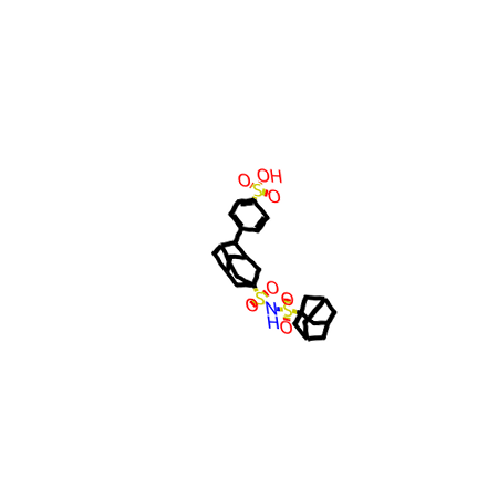 O=S(=O)(O)c1ccc(C2C3CC4CC2CC(S(=O)(=O)NS(=O)(=O)C25CC6CC(CC(C6)C2)C5)(C4)C3)cc1